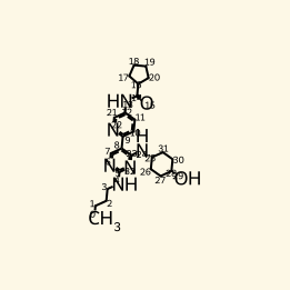 CCCCNc1ncc(-c2ccc(NC(=O)C3CCCC3)cn2)c(N[C@H]2CC[C@H](O)CC2)n1